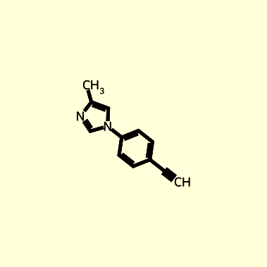 C#Cc1ccc(-n2cnc(C)c2)cc1